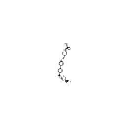 NC(=O)C1CCN(C(=O)c2ccc(-c3ccc(OCC4CCN(CC5(C(F)(F)F)CCC5)CC4)cc3)cc2)CC1